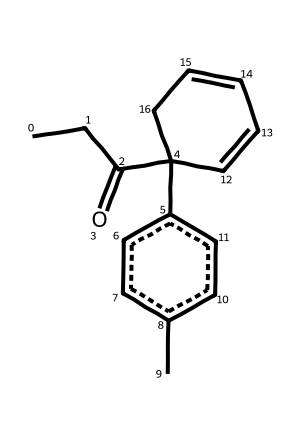 CCC(=O)C1(c2ccc(C)cc2)C=CC=CC1